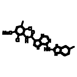 COc1cc(C)c(Cl)c(NC(=O)c2csc3c(Nc4nc5ccc(C)cc5s4)ncnc23)c1Cl